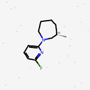 C[C@H]1CCCCN(c2cccc(F)n2)C1